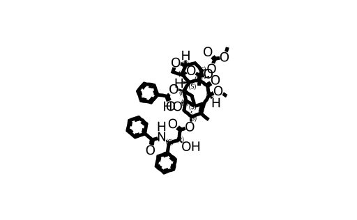 COC(=O)O[C@H]1C[C@H]2OC[C@@]2(OC(C)=O)[C@@H]2[C@]1(C)C(=O)[C@H](OC)C1=C(C)[C@@H](OC(=O)[C@H](O)[C@@H](NC(=O)c3ccccc3)c3ccccc3)C[C@]3(O)[C@@]1(C)C[C@@]23OC(=O)c1ccccc1